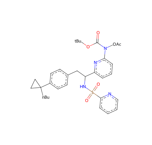 CCCCC1(c2ccc(CC(NS(=O)(=O)c3ccccn3)c3cccc(N(OC(C)=O)C(=O)OC(C)(C)C)n3)cc2)CC1